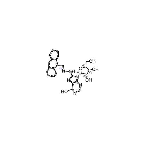 OC[C@H]1O[C@@H](n2c(N/N=C/c3c4ccccc4cc4ccccc34)nc3c(O)ncnc32)[C@H](O)[C@@H]1O